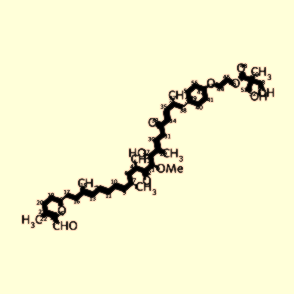 CO[C@@H](C(=O)[C@H](C)C[C@H](C)/C=C/C=C/C=C(\C)CC[C@@H]1CCC(C)=C(C=O)O1)[C@H](O)/C(C)=C/CC(=O)/C=C/[C@H](C)C[C@H]1CC[C@H](OCCOC(=O)C(C)(CO)CO)CC1